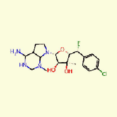 CN1CNC(N)C2CCN([C@@H]3O[C@H]([C@H](F)c4ccc(Cl)cc4)[C@@](C)(O)[C@H]3O)C21